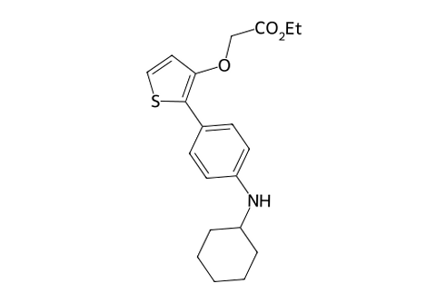 CCOC(=O)COc1ccsc1-c1ccc(NC2CCCCC2)cc1